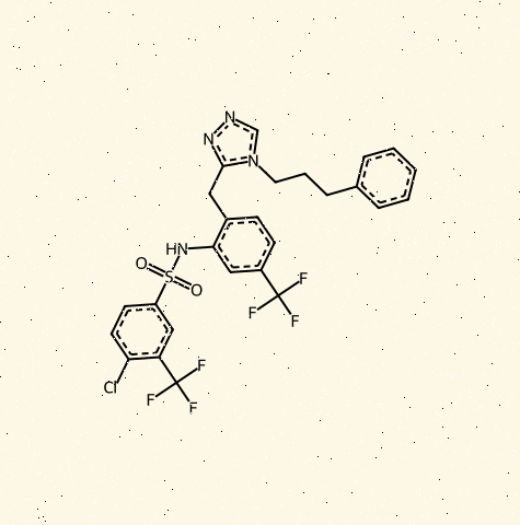 O=S(=O)(Nc1cc(C(F)(F)F)ccc1Cc1nncn1CCCc1ccccc1)c1ccc(Cl)c(C(F)(F)F)c1